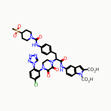 CS(=O)(=O)C1CCN(C(=O)Nc2ccc(CC(C(=O)Nc3ccc4c(c3)cc(C(=O)O)n4C(=O)O)N3CCN(c4cc(Cl)ccc4-n4cnnn4)C(=O)C3=O)cc2)CC1